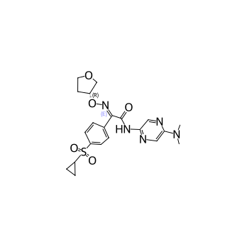 CN(C)c1cnc(NC(=O)/C(=N/O[C@@H]2CCOC2)c2ccc(S(=O)(=O)C3CC3)cc2)cn1